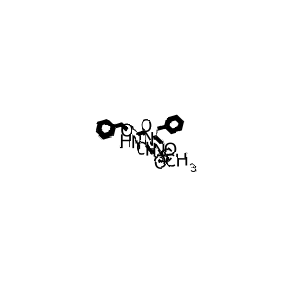 CN[C@H](COCc1ccccc1)C(=O)N1CCN(S(C)(=O)=O)C[C@H]1Cc1ccccc1